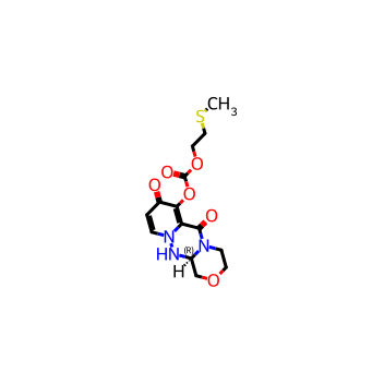 CSCCOC(=O)Oc1c2n(ccc1=O)N[C@@H]1COCCN1C2=O